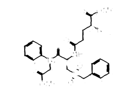 COC(=O)CN(C(=O)[C@H](CS(=O)(=O)Cc1ccccc1)NC(=O)CC[C@H](N)C(=O)OC)c1ccccc1